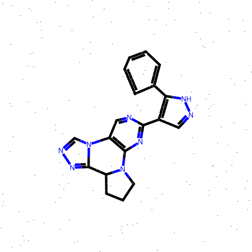 c1ccc(-c2[nH]ncc2-c2ncc3c(n2)N2CCCC2c2nncn2-3)cc1